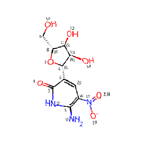 Nc1[nH]c(=O)c([C@@H]2O[C@H](CO)[C@@H](O)[C@H]2O)cc1[N+](=O)[O-]